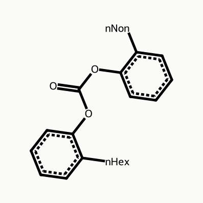 CCCCCCCCCc1ccccc1OC(=O)Oc1ccccc1CCCCCC